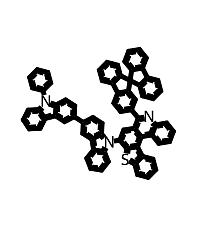 c1ccc(-n2c3ccccc3c3cc(-c4ccc5c(c4)c4ccccc4n5-c4cc5c(-c6ccc7c(c6)C6(c8ccccc8-c8ccccc86)c6ccccc6-7)nc6ccccc6c5c5c4sc4ccccc45)ccc32)cc1